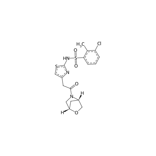 Cc1c(Cl)cccc1S(=O)(=O)Nc1nc(CC(=O)N2C[C@@H]3C[C@H]2CO3)cs1